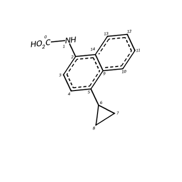 O=C(O)Nc1ccc(C2CC2)c2ccccc12